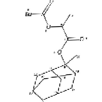 CCC(C)C(=O)OC(C)C(=O)OC1(C)C2CC3CC(C2)CC1C3